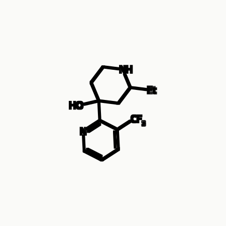 CCC1CC(O)(c2ncccc2C(F)(F)F)CCN1